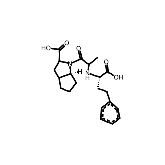 CC(N[C@@H](CCc1ccccc1)C(=O)O)C(=O)N1C(C(=O)O)CC2CCC[C@@H]21